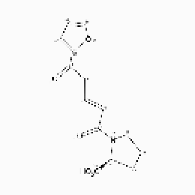 O=C(CC=CC(=O)N1CCC[C@H]1C(=O)O)c1ccco1